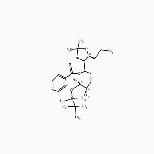 CCC[C@@H]1OC(C)(C)OC1C(/C=C\[C@@H](C)[C@H](C)O[Si](C)(C)C(C)(C)C)OC(=O)c1ccccc1